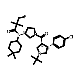 CC1(C)CCC(N(C(=O)C(C)(C)CF)[C@H]2CCN(C(=O)[C@@H]3CN(C(C)(C)C)C[C@H]3c3ccc(Cl)cc3)C2)CC1